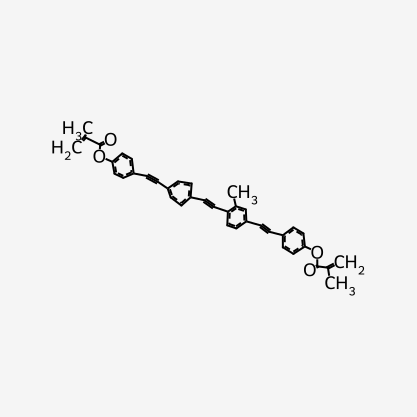 C=C(C)C(=O)Oc1ccc(C#Cc2ccc(C#Cc3ccc(C#Cc4ccc(OC(=O)C(=C)C)cc4)cc3C)cc2)cc1